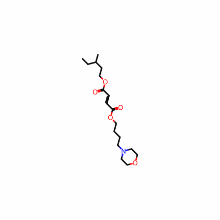 CCC(C)CCOC(=O)/C=C/C(=O)OCCCCN1CCOCC1